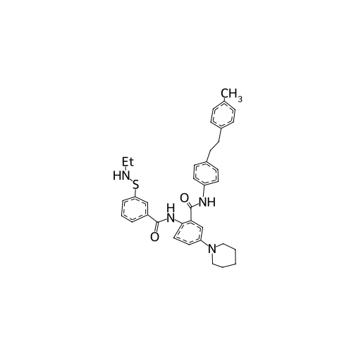 CCNSc1cccc(C(=O)Nc2ccc(N3CCCCC3)cc2C(=O)Nc2ccc(CCc3ccc(C)cc3)cc2)c1